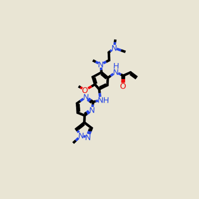 C=CC(=O)Nc1cc(Nc2nccc(-c3cnn(C)c3)n2)c(OC)cc1N(C)CCN(C)C